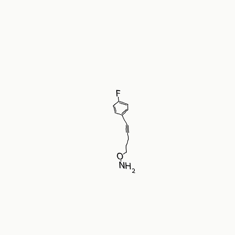 NOCCCC#Cc1ccc(F)cc1